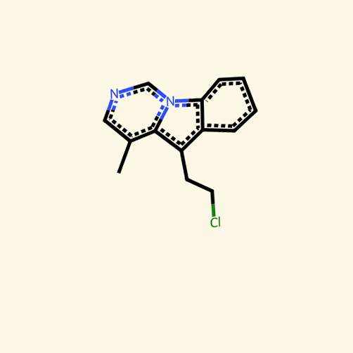 Cc1cncn2c1c(CCCl)c1ccccc12